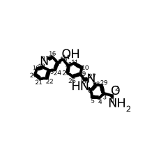 NC(=O)c1ccc2[nH]c(-c3ccc(C(O)c4cnc5ccccc5c4)cc3)nc2c1